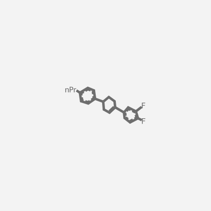 CCCc1ccc(C2CC=C(c3ccc(F)c(F)c3)CC2)cc1